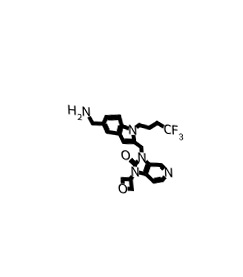 NCc1ccc2c(c1)cc(Cn1c(=O)n(C3COC3)c3ccncc31)n2CCCC(F)(F)F